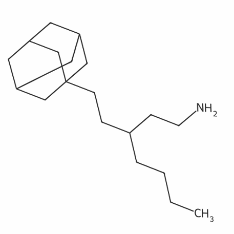 CCCCC(CCN)CCC12CC3CC(CC(C3)C1)C2